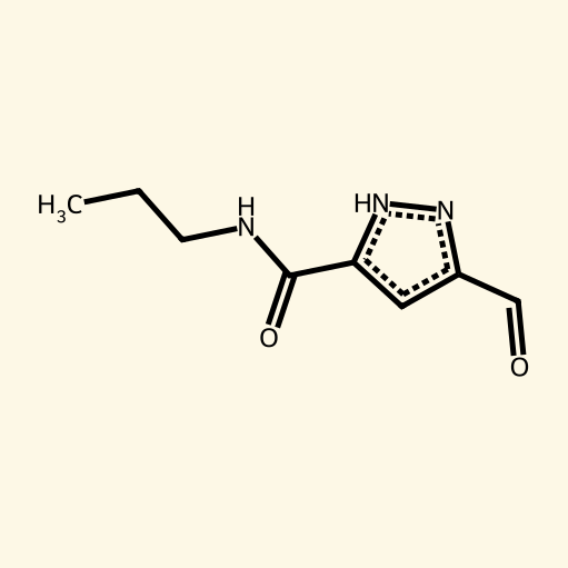 CCCNC(=O)c1cc(C=O)n[nH]1